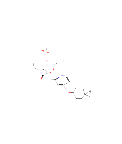 COCO[C@@]1(Cc2cc(OC3CCC4(CC3)CC4)ccn2)C(=O)N(COC)[C@H]1COS(C)(=O)=O